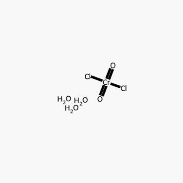 O.O.O.[O]=[Cr](=[O])([Cl])[Cl]